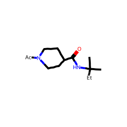 CCC(C)(C)NC(=O)C1CCN(C(C)=O)CC1